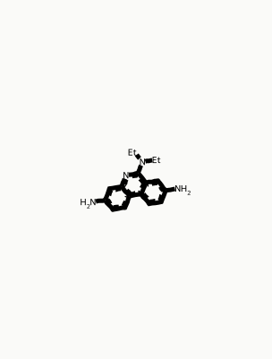 CCN(CC)c1nc2cc(N)ccc2c2ccc(N)cc12